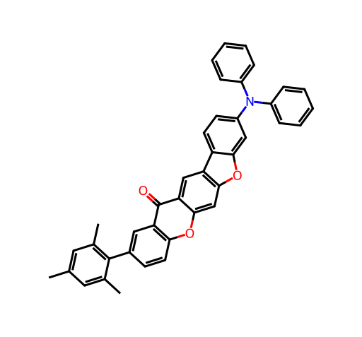 Cc1cc(C)c(-c2ccc3oc4cc5oc6cc(N(c7ccccc7)c7ccccc7)ccc6c5cc4c(=O)c3c2)c(C)c1